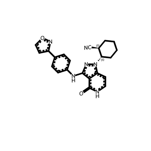 N#C[C@H]1CCCC[C@@H]1n1nc(Nc2ccc(-c3ccon3)cc2)c2c(=O)[nH]ccc21